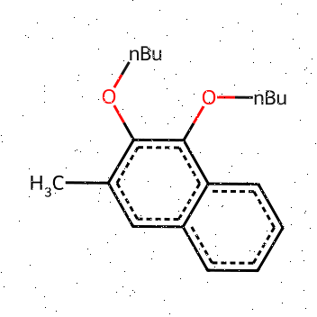 CCCCOc1c(C)cc2ccccc2c1OCCCC